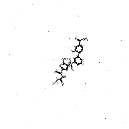 CSc1sc(C(=N)NC(=O)OC(C)(C)C)cc1S(=O)(=O)c1cccc(-c2ccc(C(N)=O)cc2C)c1